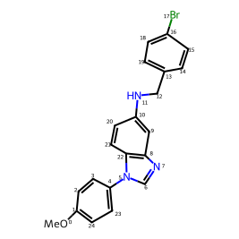 COc1ccc(-n2cnc3cc(NCc4ccc(Br)cc4)ccc32)cc1